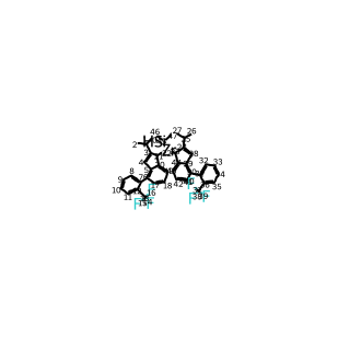 CC(C)C1=Cc2c(-c3ccccc3C(F)(F)F)cccc2[CH]1[Zr]([CH]1C(C(C)C)=Cc2c(-c3ccccc3C(F)(F)F)cccc21)[SiH](C)C